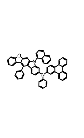 c1ccc(-c2c3c(cc4c2c2ccc(N(c5ccccc5)c5ccc6c7ccccc7c7ccccc7c6c5)cc2n4-c2cccc4ccccc24)oc2ccccc23)cc1